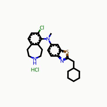 CN(c1ccc2nc(CC3CCCCC3)sc2c1)c1c(Cl)ccc2c1CCNCC2.Cl